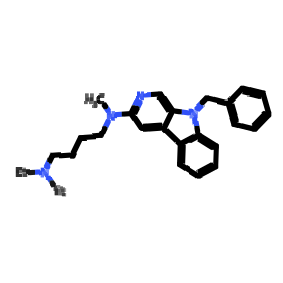 CCN(CC)CCCCN(C)c1cc2c3ccccc3n(Cc3ccccc3)c2cn1